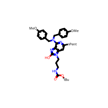 CCCCCc1cc2c(nc(O)n2CCCNC(=O)OC(C)(C)C)c(N(Cc2ccc(OC)cc2)Cc2ccc(OC)cc2)n1